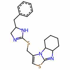 C1=C(CSC2=NCC(Cc3ccccc3)N2)N2C(=NC3CCCCC32)S1